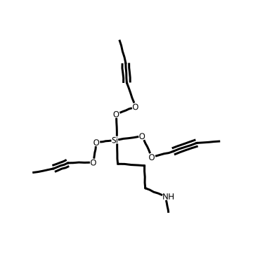 CC#COO[Si](CCCNC)(OOC#CC)OOC#CC